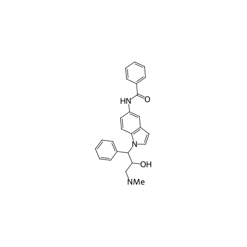 CNCC(O)C(c1ccccc1)n1ccc2cc(NC(=O)c3ccccc3)ccc21